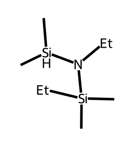 CCN([SiH](C)C)[Si](C)(C)CC